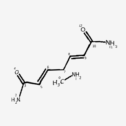 CN.NC(=O)C=CCC=CC(N)=O